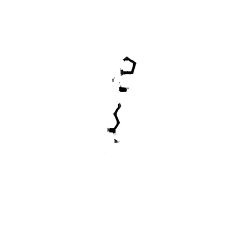 COC(=O)CCCSC(=S)N(C)C1CCCS1